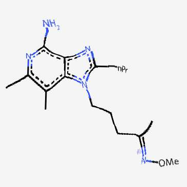 CCCc1nc2c(N)nc(C)c(C)c2n1CCC/C(C)=N/OC